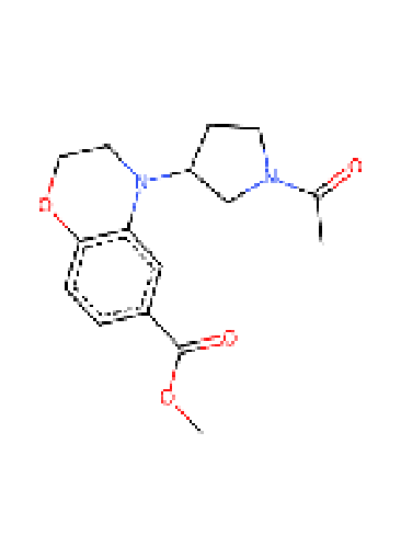 COC(=O)c1ccc2c(c1)N(C1CCN(C(C)=O)C1)CCO2